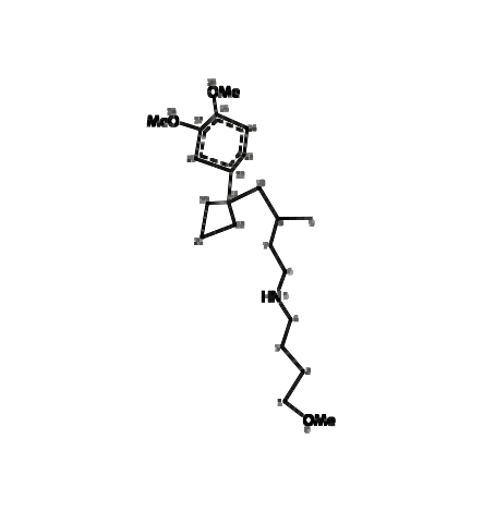 COCCCCNCCC(C)CC1(c2ccc(OC)c(OC)c2)CCC1